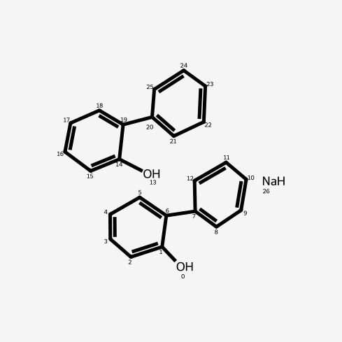 Oc1ccccc1-c1ccccc1.Oc1ccccc1-c1ccccc1.[NaH]